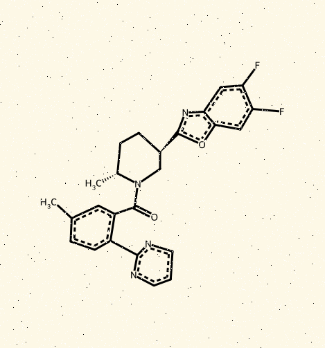 Cc1ccc(-c2ncccn2)c(C(=O)N2C[C@H](c3nc4cc(F)c(F)cc4o3)CC[C@H]2C)c1